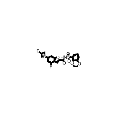 O=C(NS(=O)(=O)c1cccc2c1OCCO2)c1cc2c(F)cc(N3CC(F)C3)cc2o1